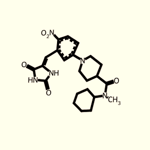 CN(C(=O)C1CCN(c2ccc([N+](=O)[O-])c(C=C3NC(=O)NC3=O)c2)CC1)C1CCCCC1